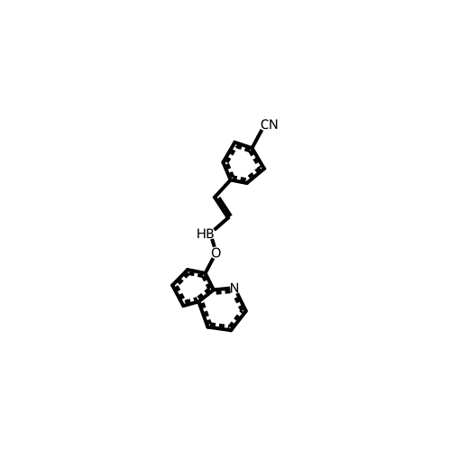 N#Cc1ccc(C=CBOc2cccc3cccnc23)cc1